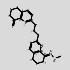 C=C1CCCc2ccc(CCCc3ccc4c(n3)/C(=N/OC)CCC4)nc21